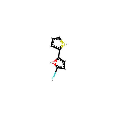 Fc1ccc(-c2cccs2)o1